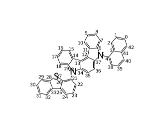 c1ccc2c(-n3c4ccccc4c4c5c6ccccc6n(-c6cccc7c6sc6ccccc67)c5ccc43)cccc2c1